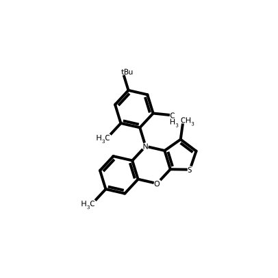 Cc1ccc2c(c1)Oc1scc(C)c1N2c1c(C)cc(C(C)(C)C)cc1C